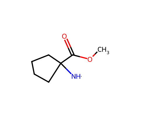 COC(=O)C1([NH])CCCC1